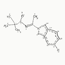 CC(=N[S+]([O-])C(C)(C)C)c1nc2cc(Cl)ccc2s1